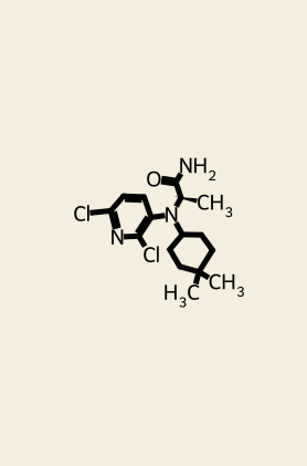 C[C@H](C(N)=O)N(c1ccc(Cl)nc1Cl)C1CCC(C)(C)CC1